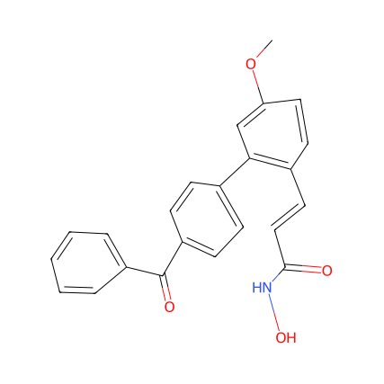 COc1ccc(/C=C/C(=O)NO)c(-c2ccc(C(=O)c3ccccc3)cc2)c1